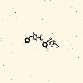 COCC(=O)NS(=O)(=O)Cc1cc(Cl)ccc1OCC(=O)N1C[C@H](C)N(Cc2ccc(F)cc2)C[C@H]1C